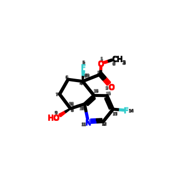 COC(=O)[C@@]1(F)CC[C@H](O)c2ncc(F)cc21